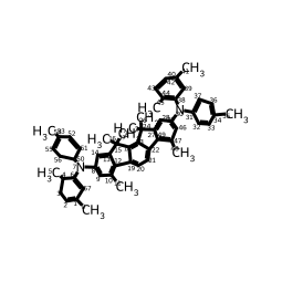 CC1=CCC(C)C(N(c2cc(C)c3c(c2)C(C)(C)c2c-3ccc3c2C(C)(C)c2cc(N(c4ccc(C)cc4)c4cc(C)ccc4C)cc(C)c2-3)C2C=CC(C)=CC2)=C1